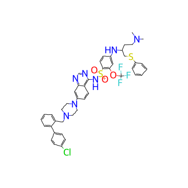 CN(C)CCC(CSc1ccccc1)Nc1ccc(S(=O)(=O)Nc2ncnc3cc(N4CCN(Cc5ccccc5-c5ccc(Cl)cc5)CC4)ccc23)c(OC(F)(F)F)c1